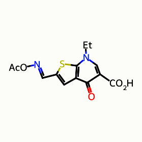 CCn1cc(C(=O)O)c(=O)c2cc(C=NOC(C)=O)sc21